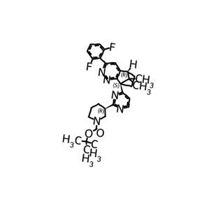 CC(C)(C)OC(=O)N1CCC[C@@H](c2nccc([C@@]34CC[C@@H](c5cc(-c6c(F)cccc6F)nnc53)C4(C)C)n2)C1